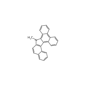 Cn1c2ccc3ccccc3c2c2c3ccccc3c3ccccc3c21